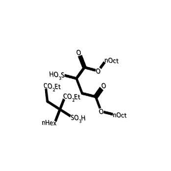 CCCCCCC(CC(=O)OCC)(C(=O)OCC)S(=O)(=O)O.CCCCCCCCOC(=O)CC(C(=O)OCCCCCCCC)S(=O)(=O)O